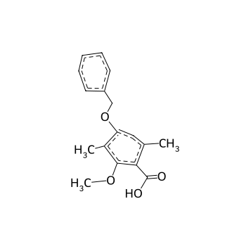 COc1c(C)c(OCc2ccccc2)cc(C)c1C(=O)O